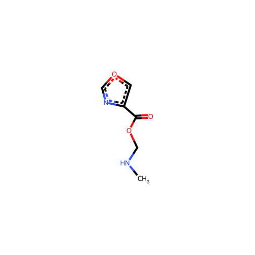 CNCOC(=O)c1cocn1